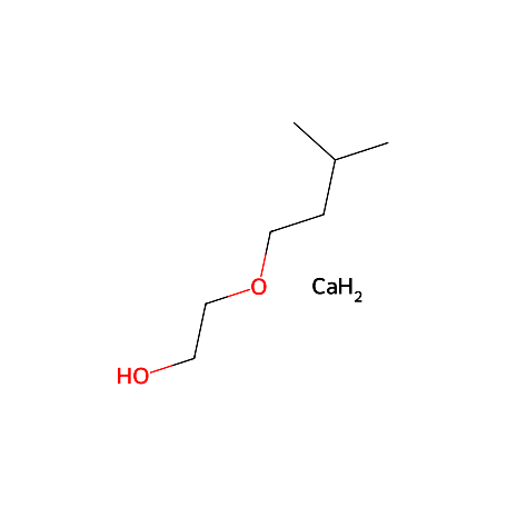 CC(C)CCOCCO.[CaH2]